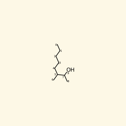 CCC[CH]CC(C)C(C)O